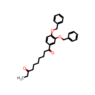 CCC(=O)CCCCCCC(=O)c1ccc(OCc2ccccc2)c(OCc2ccccc2)c1